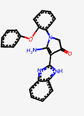 NC1=C(c2nc3ccccc3[nH]2)C(=O)CN1c1ccccc1Oc1ccccc1